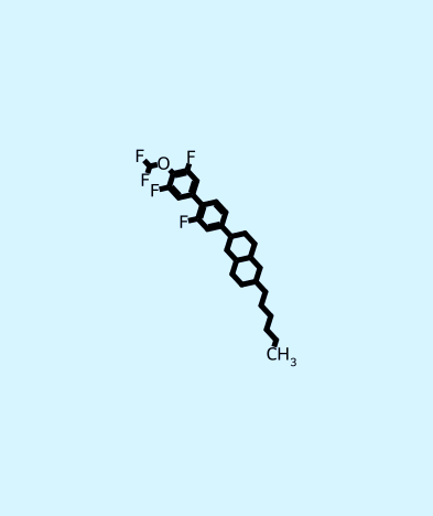 CCCCCCC1CCC2CC(c3ccc(-c4cc(F)c(OC(F)F)c(F)c4)c(F)c3)CCC2C1